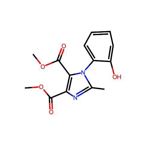 COC(=O)c1nc(C)n(-c2ccccc2O)c1C(=O)OC